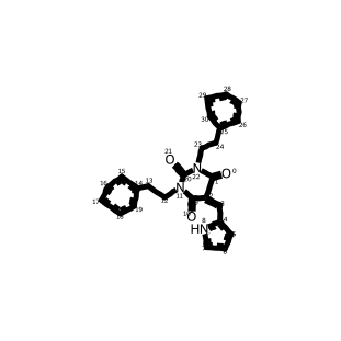 O=C1C(=Cc2ccc[nH]2)C(=O)N(CCc2ccccc2)C(=O)N1CCc1ccccc1